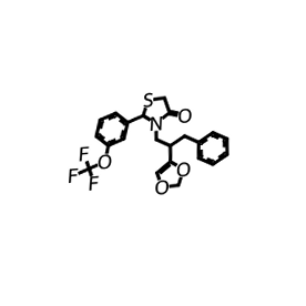 O=C1CSC(c2cccc(OC(F)(F)F)c2)N1CC(Cc1ccccc1)C1=COCO1